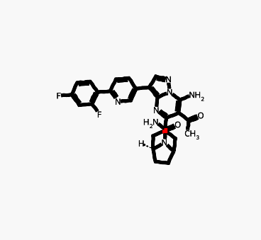 CC(=O)c1c(C2CC3CC[C@@H](C2)N3C(N)=O)nc2c(-c3ccc(-c4ccc(F)cc4F)nc3)cnn2c1N